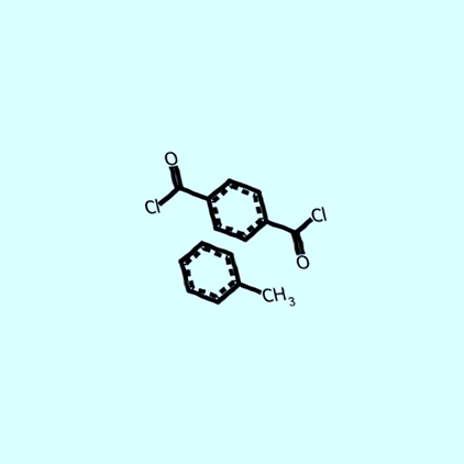 Cc1ccccc1.O=C(Cl)c1ccc(C(=O)Cl)cc1